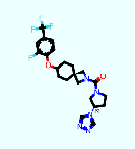 O=C(N1CC[C@H](n2cnnc2)C1)N1CC2(CCC(Oc3ccc(C(F)(F)F)cc3F)CC2)C1